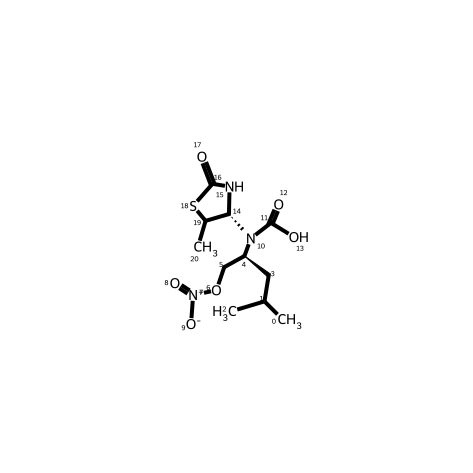 CC(C)C[C@@H](CO[N+](=O)[O-])N(C(=O)O)[C@H]1NC(=O)SC1C